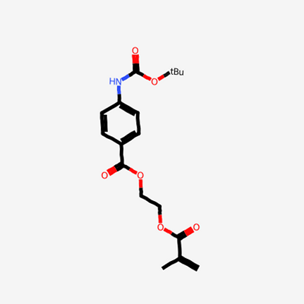 C=C(C)C(=O)OCCOC(=O)c1ccc(NC(=O)OC(C)(C)C)cc1